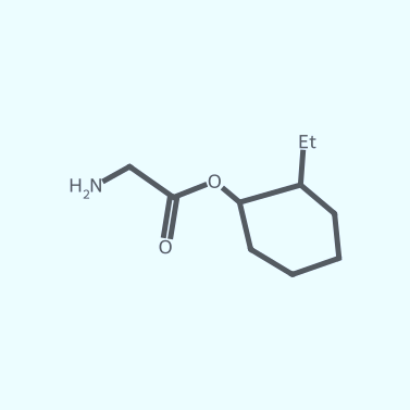 CCC1CCCCC1OC(=O)CN